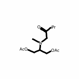 CC(=O)OCC(COC(C)=O)N(C)CC(=O)C(C)C